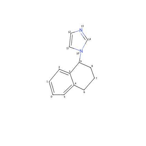 c1ccc2c(c1)CCCC2n1ccnc1